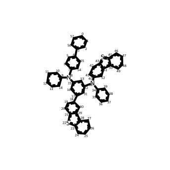 c1ccc(-c2ccc(N(c3ccccc3)c3cc(-c4ccc5sc6ccccc6c5c4)cc(N(c4ccccc4)c4ccc5sc6ccccc6c5c4)c3)cc2)cc1